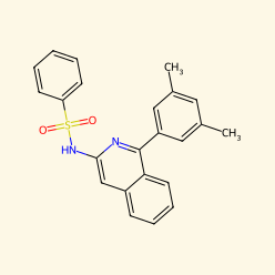 Cc1cc(C)cc(-c2nc(NS(=O)(=O)c3ccccc3)cc3ccccc23)c1